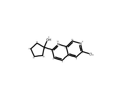 OC1(c2ccc3cc(Cl)ncc3n2)CCCC1